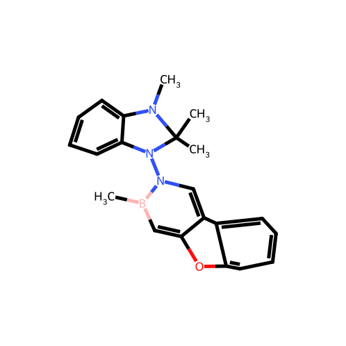 CB1C=c2oc3ccccc3c2=CN1N1c2ccccc2N(C)C1(C)C